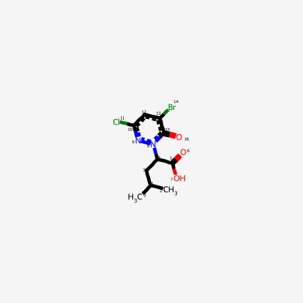 CC(C)CC(C(=O)O)n1nc(Cl)cc(Br)c1=O